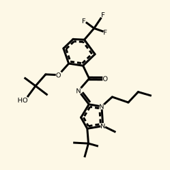 CCCCn1c(=NC(=O)c2cc(C(F)(F)F)ccc2OCC(C)(C)O)cc(C(C)(C)C)n1C